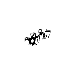 CCN(S)C(=O)Nc1noc2c(F)cccc12